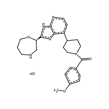 Cl.O=C(c1ccc(OC(F)(F)F)cc1)N1CCC(c2ccnc3[nH]c([C@H]4CNCCCO4)nc23)CC1